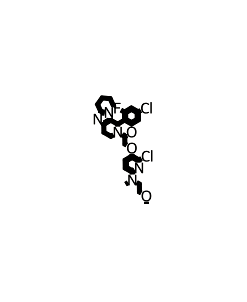 COCCN(C)c1ccc(OCC(=O)N2CCc3nc4n(c3C2c2ccc(Cl)cc2F)CCCC4)c(Cl)n1